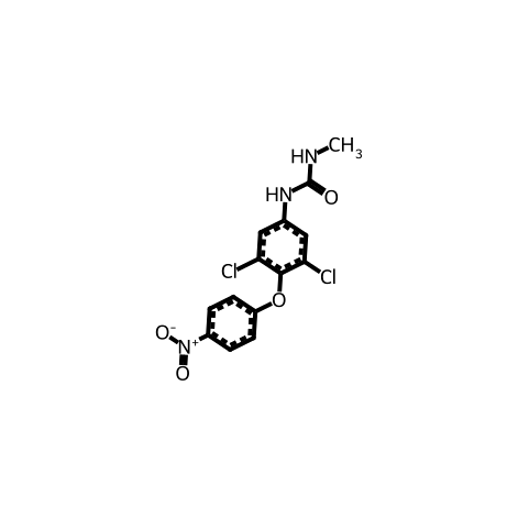 CNC(=O)Nc1cc(Cl)c(Oc2ccc([N+](=O)[O-])cc2)c(Cl)c1